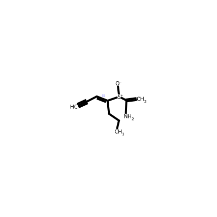 C#C/C=C(\CCC)[S+]([O-])C(=C)N